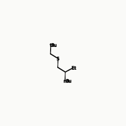 CCCCC(CC)CSCC(C)(C)C